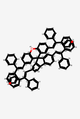 C(=C(c1ccccc1)c1ccccc1)c1ccc2c(c1)C1(c3cc(C=C(c4ccccc4)c4ccccc4)ccc3O2)c2cc(C=C(c3ccccc3)c3ccccc3)ccc2-c2ccc(C=C(c3ccccc3)c3ccccc3)cc21